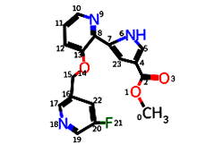 COC(=O)c1c[nH]c(-c2ncccc2OCc2cncc(F)c2)c1